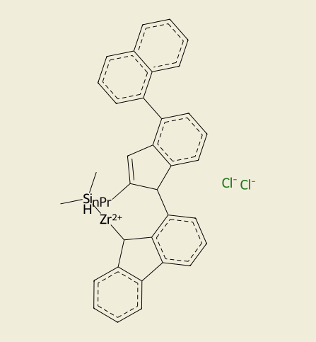 CCCC1=Cc2c(-c3cccc4ccccc34)cccc2C1c1cccc2c1[CH]([Zr+2][SiH](C)C)c1ccccc1-2.[Cl-].[Cl-]